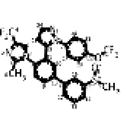 Cc1nc(C(F)(F)F)cn1-c1ccc(-c2cccc([S+](C)[O-])c2)cc1-c1ccnn1-c1ccc(OC(F)(F)F)cc1